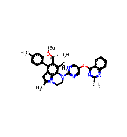 Cc1ccc(-c2c([C@H](OC(C)(C)C)C(=O)O)c(C)c3c4c2cc(C)n4CCN3c2ncc(Oc3nc(C)nc4ccccc34)cn2)cc1